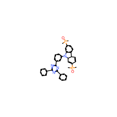 CP(C)(=O)C1=CC2C(C=C1)c1ccc(P(C)(C)=O)cc1N2c1cccc(-c2nc(-c3ccccc3)nc(-c3ccccc3)n2)c1